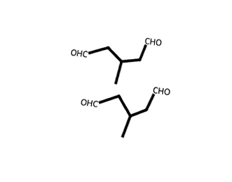 CC(CC=O)CC=O.CC(CC=O)CC=O